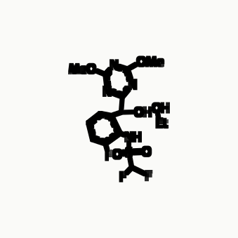 CCO.COc1nc(OC)nc(C(O)c2cccc(F)c2NS(=O)(=O)C(F)F)n1